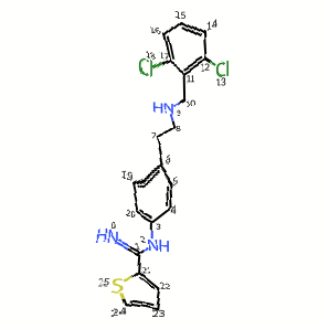 N=C(Nc1ccc(CCNCc2c(Cl)cccc2Cl)cc1)c1cccs1